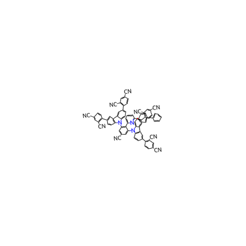 N#Cc1ccc(-c2ccc3c(c2)c2cc(-c4ccc(C#N)cc4C#N)ccc2n3-c2cc(C#N)cc(-n3c4ccc(-c5ccc(C#N)cc5C#N)cc4c4cc(-c5ccc(C#N)cc5C#N)ccc43)c2-c2cccc(-c3ccc(-c4ccccc4)cc3)n2)c(C#N)c1